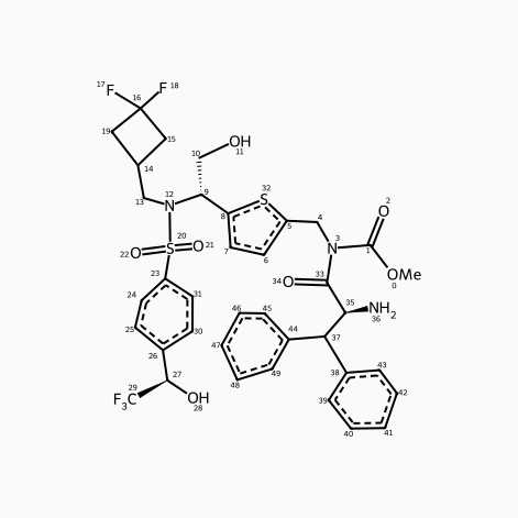 COC(=O)N(Cc1ccc([C@@H](CO)N(CC2CC(F)(F)C2)S(=O)(=O)c2ccc([C@@H](O)C(F)(F)F)cc2)s1)C(=O)[C@@H](N)C(c1ccccc1)c1ccccc1